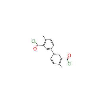 Cc1ccc(-c2ccc(C)c(C(=O)Cl)c2)cc1C(=O)Cl